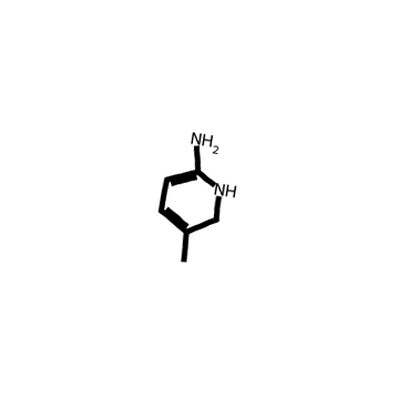 CC1=CC=C(N)NC1